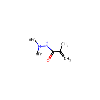 C=C(C)C(=O)NN(CCC)CCC